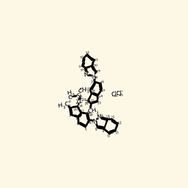 CC1=Cc2ccc(-n3cc4ccccc4n3)cc2[C@@H]1[Zr+2]([C@H]1C(C)=Cc2ccc(-n3cc4ccccc4n3)cc21)=[Si](C)C.[Cl-].[Cl-]